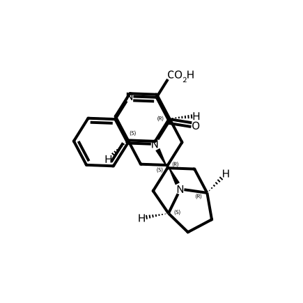 O=C(O)c1nc2ccccc2n([C@H]2C[C@H]3CC[C@@H](C2)N3[C@@H]2C[C@@H]3CCC[C@@H](C3)C2)c1=O